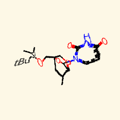 CC1CC2(CO[Si](C)(C)C(C)(C)C)COC1C(n1ccc(=O)[nH]c1=O)O2